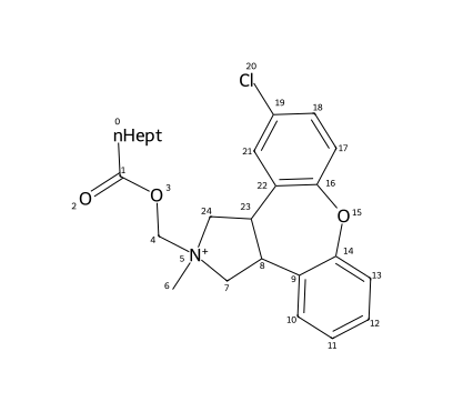 CCCCCCCC(=O)OC[N+]1(C)CC2c3ccccc3Oc3ccc(Cl)cc3C2C1